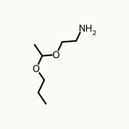 CCCOC(C)OCCN